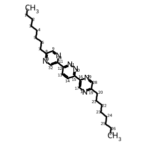 CCCCCCCCc1cnc(-c2ccc(-c3cnc(CCCCCCCC)cn3)nn2)cn1